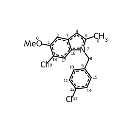 COc1cc2cc(C)n(Cc3ccc(Cl)cc3)c2cc1Cl